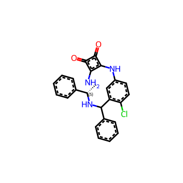 C[C@H](NC(c1ccccc1)c1cc(Nc2c(N)c(=O)c2=O)ccc1Cl)c1ccccc1